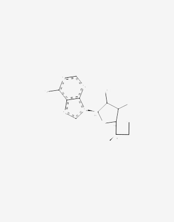 Nc1ncnc2c1ncn2[C@@H]1O[C@@]2(CC[C@H]2O)C(O)C1O